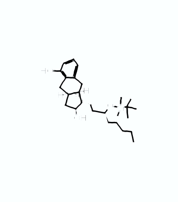 CCCCC[C@@H](CC[C@H]1[C@@H]2Cc3cccc(O)c3C[C@@H]2C[C@@H]1O)O[Si](C)(C)C(C)(C)C